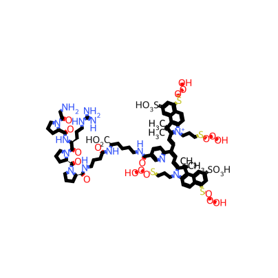 CC1(C)C(/C=C/C(=C/C=C2/N(CCCSOOO)c3ccc4c(SOOO)cc(S(=O)(=O)O)cc4c3C2(C)C)c2ccc(C(=O)NCCCC[C@H](NC(=O)CCCNC(=O)[C@@H]3CCCN3C(=O)[C@@H]3CCCN3C(=O)[C@H](CCCNC(=N)N)NC(=O)C3CCCN3C(=O)CN)C(=O)O)cn2)=[N+](CCCSOOO)c2ccc3c(SOOO)cc(S(=O)(=O)O)cc3c21